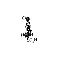 C=C(O)C(CCC(=O)O)NC(=O)N1CCc2cc(S(=O)(=O)N3CCN(c4cccc(Cl)c4)CC3)ccc21